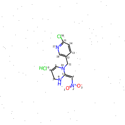 Cl.O=[N+]([O-])C=C1NCC=CN1Cc1ccc(Cl)nc1